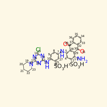 Nc1c(S(=O)(=O)O)cc(Nc2ccc(Nc3nc(Cl)nc(N4CCCCC4)n3)c(S(=O)(=O)O)c2)c2c1C(=O)c1ccccc1C2=O